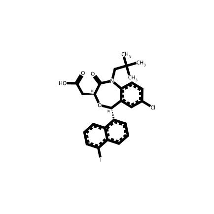 CC(C)(C)CN1C(=O)[C@H](CC(=O)O)O[C@@H](c2cccc3c(I)cccc23)c2cc(Cl)ccc21